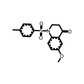 COc1ccc2c(c1)C(=O)CCN2S(=O)(=O)c1ccc(C)cc1